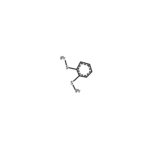 CC(C)Sc1ccccc1SC(C)C